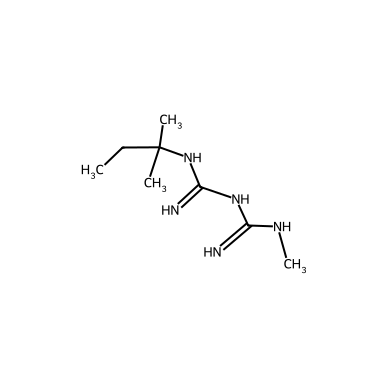 CCC(C)(C)NC(=N)NC(=N)NC